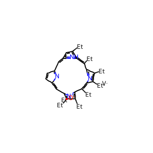 CCC1=C(CC)C2=C(CC)C3=C(CC)C(CC)=C(C=C4C=CC(=N4)C=c4cc(CC)c([nH]4)=C(CC)C1=N2)[N+]3([O-])CC.[V]